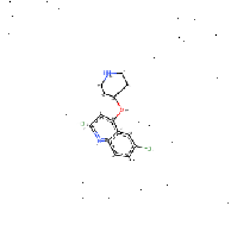 Cl.Clc1ccc2nccc(OC3CCNCC3)c2c1